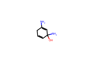 NC1=CC(N)(O)C=CC1